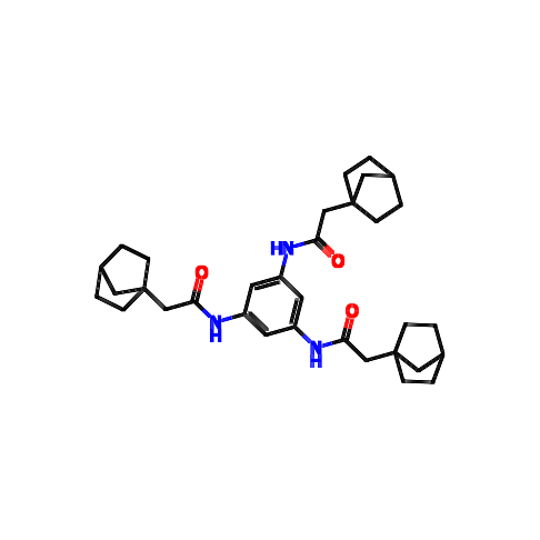 O=C(CC12CCC(CC1)C2)Nc1cc(NC(=O)CC23CCC(CC2)C3)cc(NC(=O)CC23CCC(CC2)C3)c1